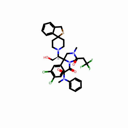 CN(CC(c1ccc(Cl)c(Cl)c1)([C@@H](CO)N1CCC2(CC1)SCc1ccccc12)N(C)C(=O)C(=O)N(C)c1ccccc1)C(=O)CC(F)(F)F